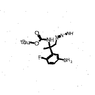 Bc1ccc(F)c(C(C)(CN=[N+]=N)NC(=O)OC(C)(C)C)c1